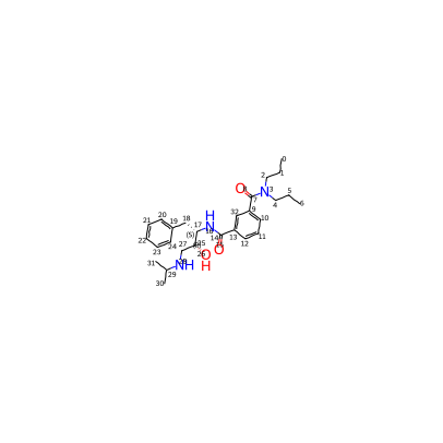 CCCN(CCC)C(=O)c1cccc(C(=O)N[C@@H](Cc2ccccc2)[C@H](O)CNC(C)C)c1